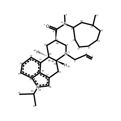 C=CCN1C[C@H](C(=O)N(C)C2CCCCCC(C)C2)C[C@@H]2c3cccc4c3c(cn4C(C)C)C[C@H]21